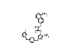 Cc1cnn(Cc2ccc(Cn3cc(OC(=O)NCc4ccc5c(N)nccc5c4)c(C(F)(F)F)n3)cc2)c1